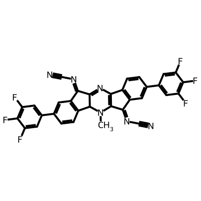 CN1C2=C(N=C3/C(=N/C#N)c4cc(-c5cc(F)c(F)c(F)c5)ccc4C31)c1ccc(-c3cc(F)c(F)c(F)c3)cc1/C2=N\C#N